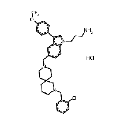 Cl.NCCCn1cc(-c2ccc(OC(F)(F)F)cc2)c2cc(CN3CCC4(CCCN(Cc5ccccc5Cl)C4)CC3)ccc21